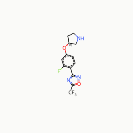 Fc1cc(O[C@H]2CCNC2)ccc1-c1noc(C(F)(F)F)n1